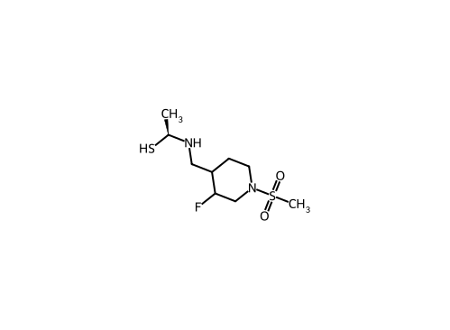 C[C@H](S)NCC1CCN(S(C)(=O)=O)CC1F